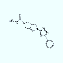 CC(C)(C)OC(=O)N1CC2=CN(c3nnc(-c4ccccc4)s3)CC2C1